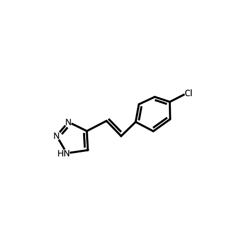 Clc1ccc(C=Cc2c[nH]nn2)cc1